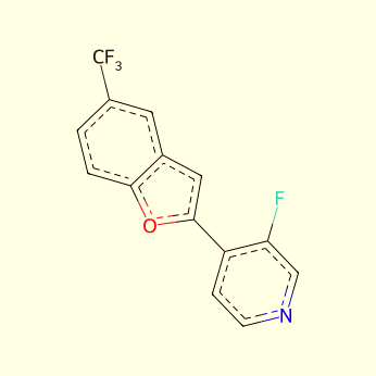 Fc1cnccc1-c1cc2cc(C(F)(F)F)ccc2o1